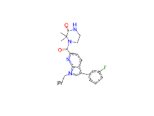 CC(C)Cn1cc(-c2cccc(F)c2)c2ccc(C(=O)N3CCNC(=O)C3(C)C)nc21